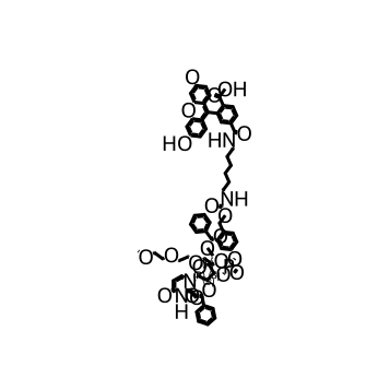 COCCOCCOCCOP(=O)(Oc1ccc(COC(=O)NCCCCCCNC(=O)c2ccc(C(=O)O)c(-c3c4ccc(=O)cc-4oc4cc(O)ccc34)c2)cc1)O[C@@H]1[C@H](OC(=O)c2ccccc2)[C@H](n2ccc(=O)[nH]c2=O)O[C@@H]1COC(=O)c1ccccc1